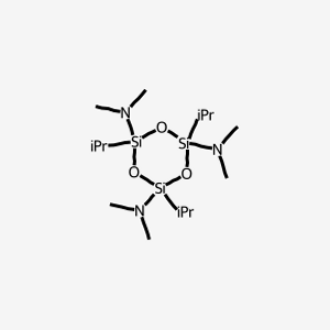 CC(C)[Si]1(N(C)C)O[Si](C(C)C)(N(C)C)O[Si](C(C)C)(N(C)C)O1